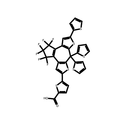 O=C(O)c1ccc(-c2cc3c(s2)C(c2cccs2)(c2cccs2)c2sc(-c4cccs4)cc2C2=C3C(F)(F)C(F)(F)C2(F)F)s1